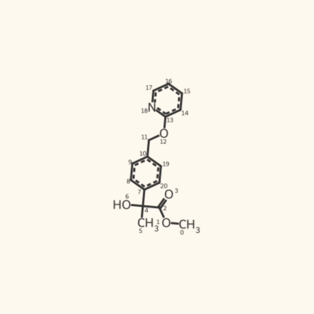 COC(=O)C(C)(O)c1ccc(COc2ccccn2)cc1